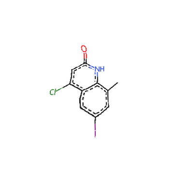 Cc1cc(I)cc2c(Cl)cc(=O)[nH]c12